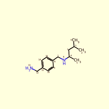 CC(C)CC(C)NCc1ccc(CN)cc1